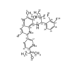 Cc1nc2cc(F)c(-c3ccc(P(C)(C)=O)nc3)nc2c(NC(c2cccc(F)c2F)C(C)(F)F)c1Cl